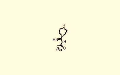 CC(C)(C)OC(=O)NC(=N)N1CCNCC1